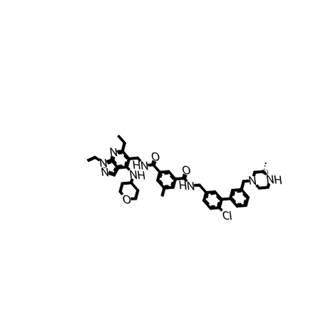 CCc1nc2c(cnn2CC)c(NC2CCOCC2)c1CNC(=O)c1cc(C)cc(C(=O)NCc2ccc(Cl)c(-c3cccc(CN4CCN[C@@H](C)C4)c3)c2)c1